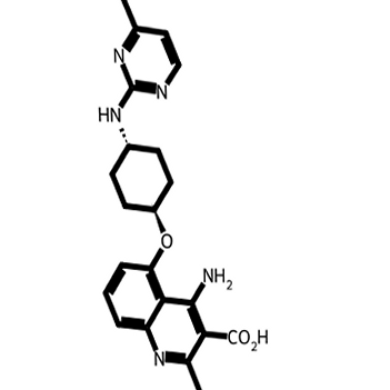 Cc1ccnc(N[C@H]2CC[C@H](Oc3cccc4nc(C)c(C(=O)O)c(N)c34)CC2)n1